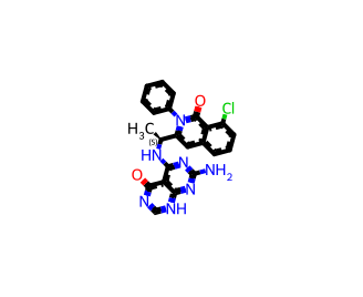 C[C@H](Nc1nc(N)nc2[nH]cnc(=O)c12)c1cc2cccc(Cl)c2c(=O)n1-c1ccccc1